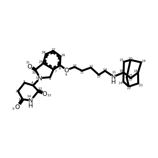 O=C1CCC(N2Cc3c(OCCCCCNC45CC6CC(CC(C6)C4)C5)cccc3C2=O)C(=O)N1